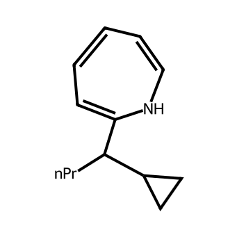 [CH2]CCC(C1=CC=CC=CN1)C1CC1